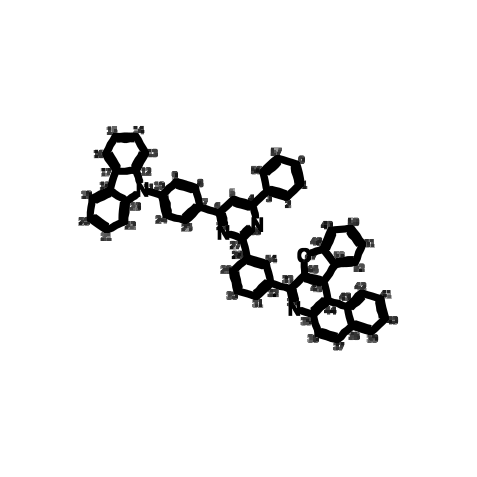 c1ccc(-c2cc(-c3ccc(-n4c5ccccc5c5ccccc54)cc3)nc(-c3cccc(-c4nc5ccc6ccccc6c5c5c4oc4ccccc45)c3)n2)cc1